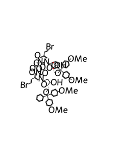 COc1ccc(C(OC[C@@H]2O[C@H](n3cc(C=CBr)c(=O)n(OC(=O)On4c(=O)c(C=CBr)cn([C@@H]5CC(O)[C@H](COC(c6ccccc6)(c6ccc(OC)cc6)c6ccc(OC)cc6)O5)c4=O)c3=O)CC2O)(c2ccccc2)c2ccc(OC)cc2)cc1